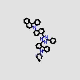 C#C/C=C\C(=C/C)n1c2ccccc2c2c(-c3nc(-c4ccccc4)nc(-c4cccc5c(-n6c7ccccc7c7c8ccccc8ccc76)cccc45)n3)cccc21